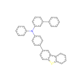 c1ccc(-c2cccc(N(c3ccccc3)c3ccc(-c4ccc5sc6ccccc6c5c4)cc3)c2)cc1